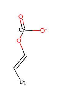 CCC=C[O][Cr](=[O])[O-]